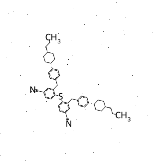 CCC[C@H]1CC[C@H](c2ccc(Cc3cc(C#N)ccc3Sc3ccc(C#N)cc3Cc3ccc([C@H]4CC[C@H](CCC)CC4)cc3)cc2)CC1